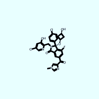 Cn1cnc(C(=O)c2cc(F)c3c(c2)C(=O)N(Cc2ncc(Cl)cc2O)[C@@]3(O[C@H]2C[C@@H](O)C2)c2ccc(Cl)cc2)c1